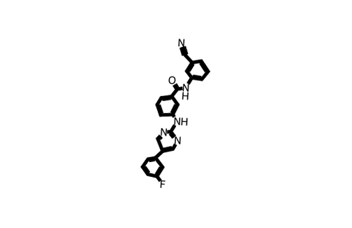 N#Cc1cccc(NC(=O)c2cccc(Nc3ncc(-c4cccc(F)c4)cn3)c2)c1